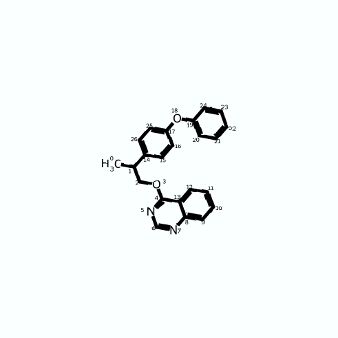 CC(COc1ncnc2ccccc12)c1ccc(Oc2ccccc2)cc1